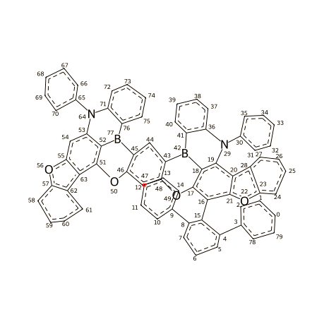 c1ccc(-c2cccc(-c3ccccc3)c2-c2c3c4c(c5c2oc2ccccc25)N(c2ccccc2)c2ccccc2B4c2cc4c(cc2O3)Oc2c3c(cc5oc6ccccc6c25)N(c2ccccc2)c2ccccc2B43)cc1